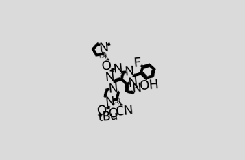 CN1CCC[C@H]1COc1nc(N2CCN(C(=O)OC(C)(C)C)[C@@H](CC#N)C2)c2c(n1)nc(-c1c(O)cccc1F)n1nccc21